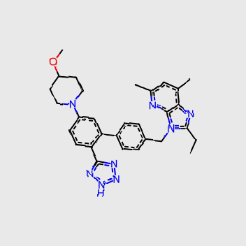 CCc1nc2c(C)cc(C)nc2n1Cc1ccc(-c2cc(N3CCC(OC)CC3)ccc2-c2nn[nH]n2)cc1